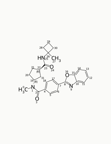 CN(C(=O)c1ccc(-c2nc3ccccc3o2)cc1)[C@@H]1CC[C@@H](C(=O)NC2(C)CCC2)C1